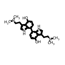 CN(C)CCc1c[nH]c2c(-c3ccc(O)c4c(CCN(C)C)c[nH]c34)ccc(O)c12